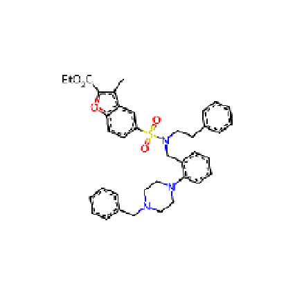 CCOC(=O)c1oc2ccc(S(=O)(=O)N(CCc3ccccc3)Cc3ccccc3N3CCN(Cc4ccccc4)CC3)cc2c1C